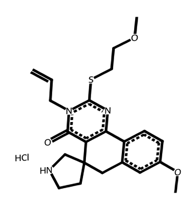 C=CCn1c(SCCOC)nc2c(c1=O)C1(CCNC1)Cc1cc(OC)ccc1-2.Cl